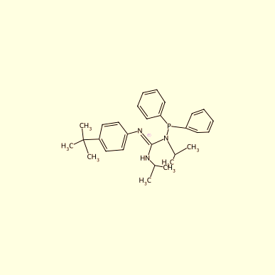 CC(C)N/C(=N\c1ccc(C(C)(C)C)cc1)N(C(C)C)P(c1ccccc1)c1ccccc1